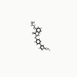 Cn1cc(-c2ccc(CN3Cc4cccc(OCCO)c4C3=O)cc2)cn1